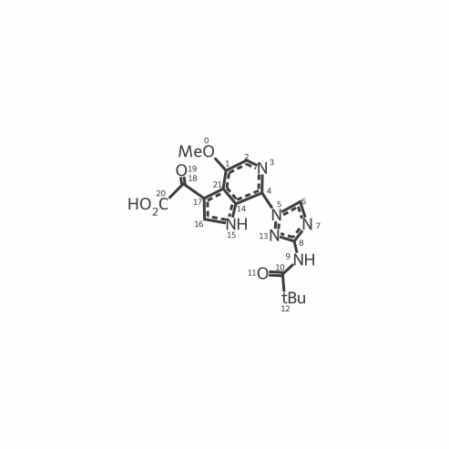 COc1cnc(-n2cnc(NC(=O)C(C)(C)C)n2)c2[nH]cc(C(=O)C(=O)O)c12